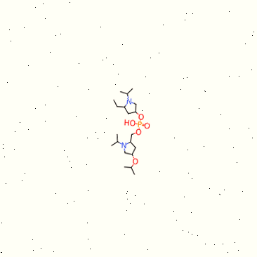 CCC1CC(OP(=O)(O)OCC2CC(OC(C)C)CN2C(C)C)CN1C(C)C